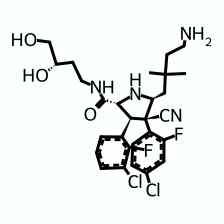 CC(C)(CCN)C[C@@H]1N[C@@H](C(=O)NCC[C@H](O)CO)[C@H](c2cccc(Cl)c2F)[C@@]1(C#N)c1ccc(Cl)cc1F